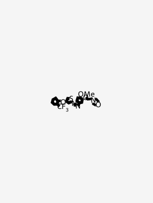 COc1cc2c(cc1OCCN1CCOCC1)ncn2-c1cc(OCc2ccccc2C(F)(F)F)cs1